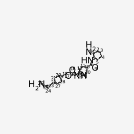 Nc1ccccc1NC(=O)c1ccc(NC(=O)OCc2ccc(C3C[C@@H]3N)cc2)nc1